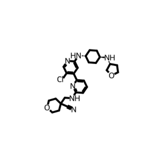 N#CC1(CNc2cccc(-c3cc(N[C@H]4CC[C@H](N[C@@H]5CCOC5)CC4)ncc3Cl)n2)CCOCC1